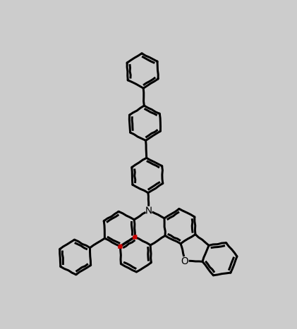 c1ccc(-c2ccc(-c3ccc(N(c4ccc(-c5ccccc5)cc4)c4ccc5c(oc6ccccc65)c4-c4ccccc4)cc3)cc2)cc1